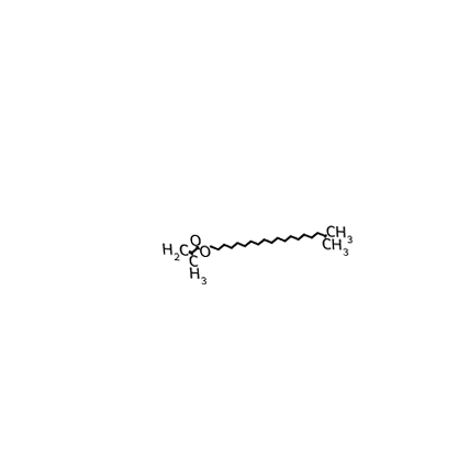 C=C(C)C(=O)OCCCCCCCCCCCCCCCCCC(C)C